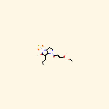 CCCC1=C2C(CCN2C(=O)C=CC(=O)OCC)N(S(C)(=O)=O)C1=O